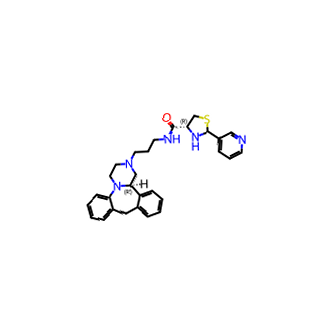 O=C(NCCCN1CCN2c3ccccc3Cc3ccccc3[C@@H]2C1)[C@@H]1CSC(c2cccnc2)N1